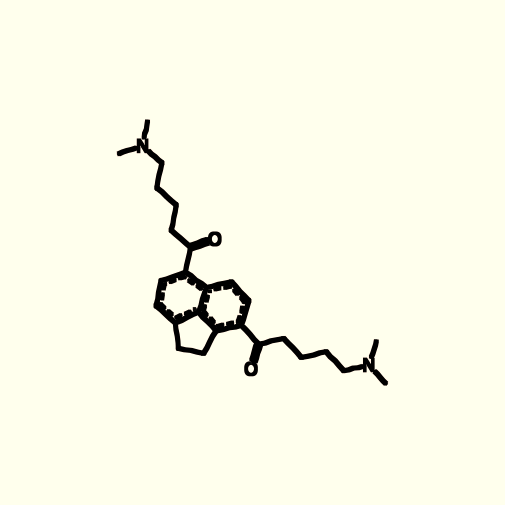 CN(C)CCCCC(=O)c1ccc2c(C(=O)CCCCN(C)C)ccc3c2c1CC3